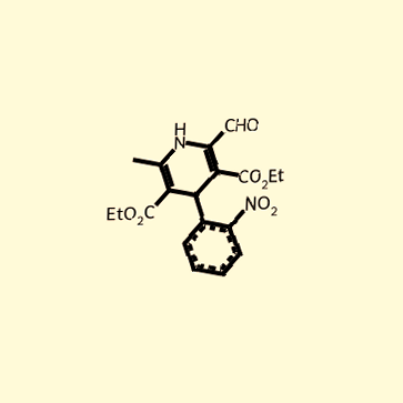 CCOC(=O)C1=C(C)NC(C=O)=C(C(=O)OCC)C1c1ccccc1[N+](=O)[O-]